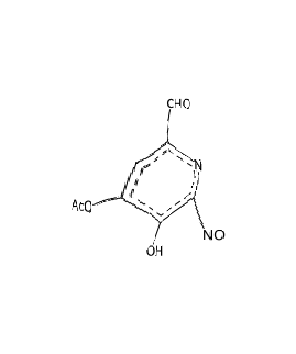 CC(=O)Oc1cc(C=O)nc(N=O)c1O